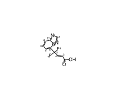 O=C(O)/C=C/C(F)(F)c1cccc2ncnn12